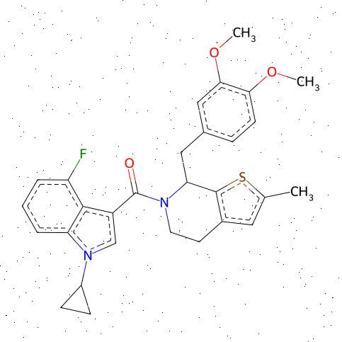 COc1ccc(CC2c3sc(C)cc3CCN2C(=O)c2cn(C3CC3)c3cccc(F)c23)cc1OC